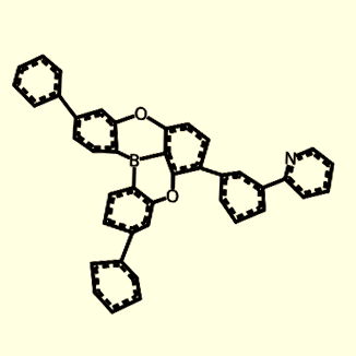 c1ccc(-c2ccc3c(c2)Oc2ccc(-c4cccc(-c5ccccn5)c4)c4c2B3c2ccc(-c3ccccc3)cc2O4)cc1